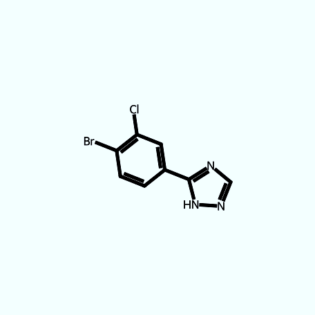 Clc1cc(-c2ncn[nH]2)ccc1Br